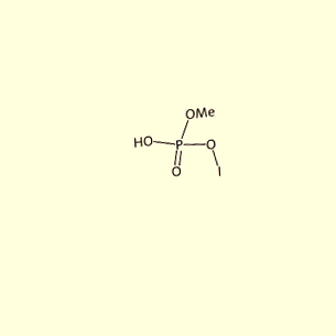 COP(=O)(O)OI